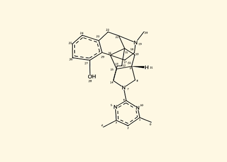 Cc1cc(C)nc(N2C[C@H]3CC45CCC2C3C42CCN(C)C5Cc3cccc(O)c32)n1